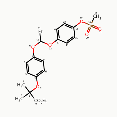 CCOC(=O)C(C)(C)Oc1ccc(OC(CC)Oc2ccc(OS(C)(=O)=O)cc2)cc1